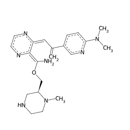 C=C(/C=c1/nccn/c1=C(/N)OC[C@@H]1CNCCN1C)c1ccc(N(C)C)nc1